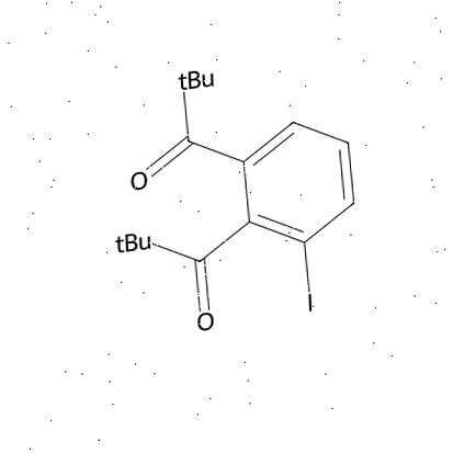 CC(C)(C)C(=O)c1cccc(I)c1C(=O)C(C)(C)C